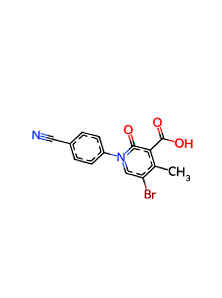 Cc1c(Br)cn(-c2ccc(C#N)cc2)c(=O)c1C(=O)O